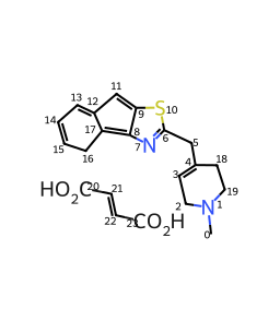 CN1CC=C(Cc2nc3c(s2)=CC2=CC=CCC=32)CC1.O=C(O)C=CC(=O)O